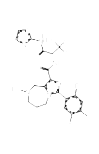 CN1CCCn2c(-c3cc(F)c(F)cc3F)nc(C(=O)N[C@H](C(=O)Nc3nccs3)C(C)(C)C)c2C1